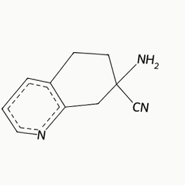 N#CC1(N)CCc2cccnc2C1